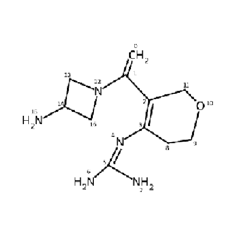 C=C(C1=C(N=C(N)N)CCOC1)N1CC(N)C1